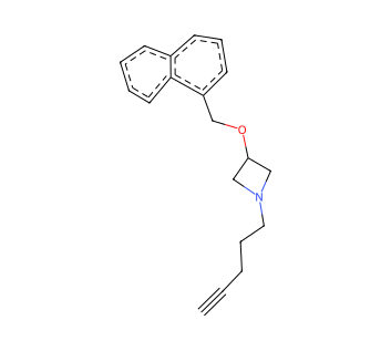 C#CCCCN1CC(OCc2cccc3ccccc23)C1